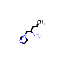 C=CCC(N)CN1C=NCC1